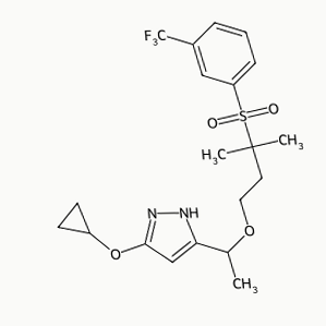 CC(OCCC(C)(C)S(=O)(=O)c1cccc(C(F)(F)F)c1)c1cc(OC2CC2)n[nH]1